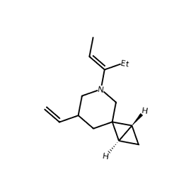 C=CC1CN(/C(=C/C)CC)CC2(C1)[C@@H]1C[C@H]12